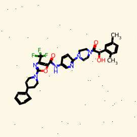 Cc1ccc(C)c(C(O)C(=O)N2CCN(c3ccc(NC(=O)c4oc(N5CCC(c6ccccc6)CC5)nc4C(F)(F)F)cn3)CC2)c1